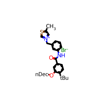 CCCCCCCCCCOc1cc(C(=O)Nc2cccc(C[n+]3csc(C)c3)c2)ccc1C(C)(C)C.[Br-]